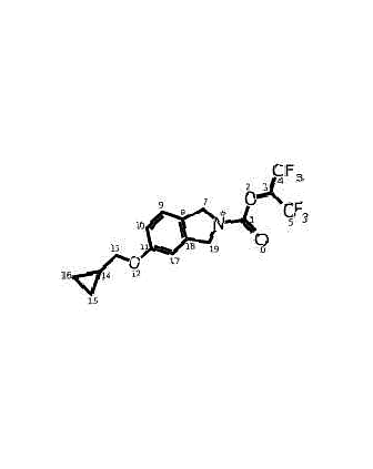 O=C(OC(C(F)(F)F)C(F)(F)F)N1Cc2ccc(OCC3CC3)cc2C1